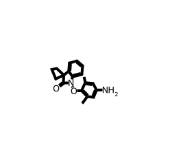 Cc1cc(N)cc(C)c1ON1C(=O)C2(CCC2)c2ccccc21